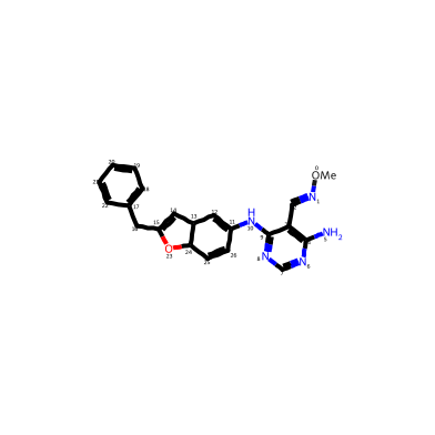 CO/N=C/c1c(N)ncnc1NC1=CC2C=C(Cc3ccccc3)OC2C=C1